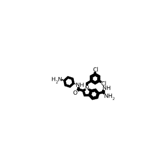 N=C(N)c1ccc2c(c1)N(Cc1cc(Cl)cc(Cl)c1)C(C(=O)N[C@H]1CC[C@H](N)CC1)C2